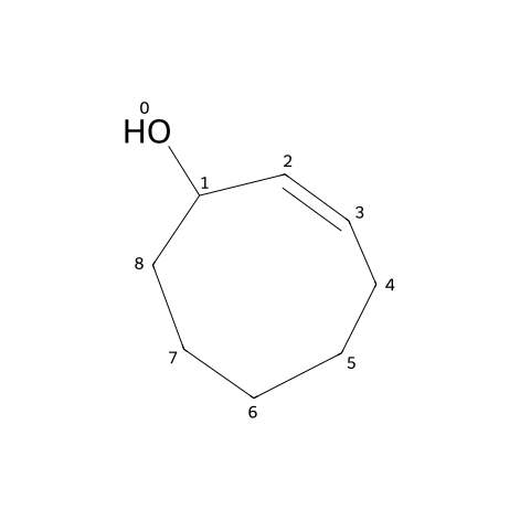 OC1C=CCCCCC1